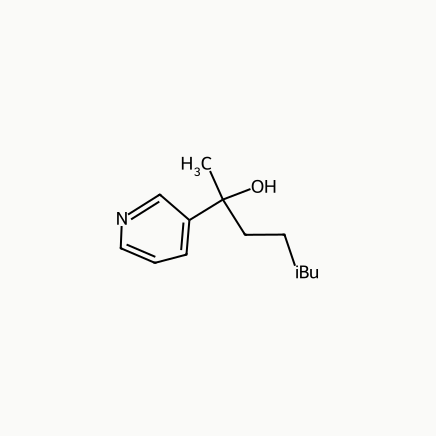 CCC(C)CCC(C)(O)c1cccnc1